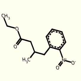 CCOC(=O)CC(C)Cc1ccccc1[N+](=O)[O-]